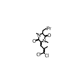 CC(/C=C1/C(=O)N(C)C(CC(C)C)C(=O)N1C)=C(Cl)Cl